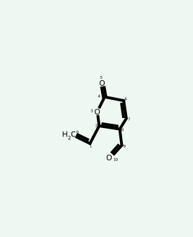 C=Cc1oc(=O)ccc1C=O